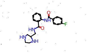 O=C(Nc1ccccc1C(=O)NCC1CNCCN1)c1ccc(F)cc1